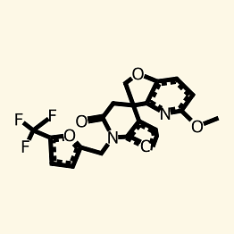 COc1ccc2c(n1)C1(CO2)CC(=O)N(Cc2ccc(C(F)(F)F)o2)c2ccccc21